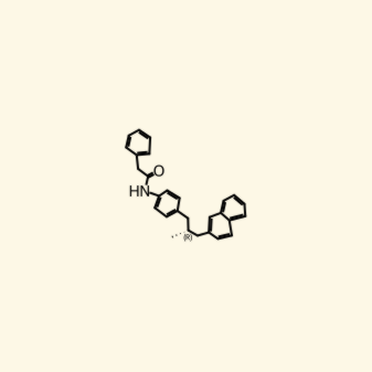 C[C@H](Cc1ccc(NC(=O)Cc2ccccc2)cc1)Cc1ccc2ccccc2c1